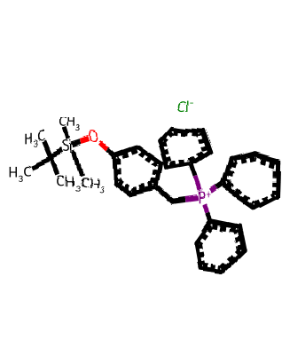 CC(C)(C)[Si](C)(C)Oc1ccc(C[P+](c2ccccc2)(c2ccccc2)c2ccccc2)cc1.[Cl-]